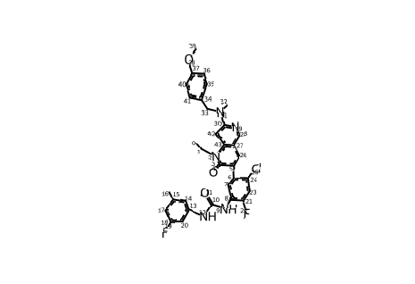 CCn1c(=O)c(-c2cc(NC(=O)Nc3cc(C)cc(F)c3)c(F)cc2Cl)cc2cnc(N(C)Cc3ccc(OC)cc3)cc21